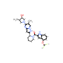 Cc1cn2nc([C@@H]3CCCCN3C(=O)c3cc4c(OC(F)F)cccc4[nH]3)cc2nc1N1C[C@@H](C)[C@@H](O)C1